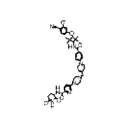 COc1cc(OC2C(C)(C)C(NC(=O)c3ccc(N4CCC(CN5CCN(c6ccc(C(=O)N[C@H]7CCC(=O)NC7=O)nc6)CC5)CC4)cc3)C2(C)C)ccc1C#N